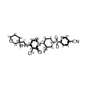 N#Cc1ccc(S(=O)(=O)N2CC[C@H](n3ncc(NC[C@@]4(F)CCCOC4)c(Cl)c3=O)[C@H](F)C2)nc1